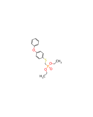 CCOP(=O)(CSc1ccc(Oc2ccccc2)cc1)OCC